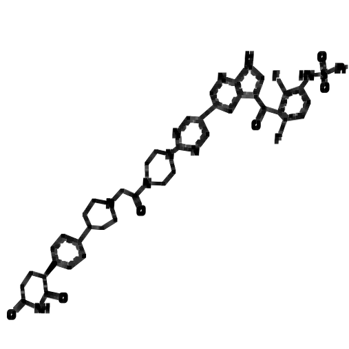 CC(C)S(=O)(=O)Nc1ccc(F)c(C(=O)c2c[nH]c3ncc(-c4cnc(N5CCN(C(=O)CN6CCC(c7ccc([C@@H]8CCC(=O)NC8=O)cc7)CC6)CC5)nc4)cc23)c1F